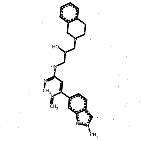 C=N/C(=C\C(=N/C)NCC(O)CN1CCc2ccccc2C1)c1ccc2cn(C)nc2c1